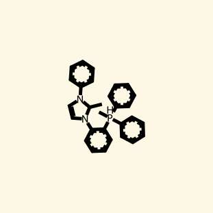 CC1N(c2ccccc2)C=CN1c1ccccc1[PH](C)(c1ccccc1)c1ccccc1